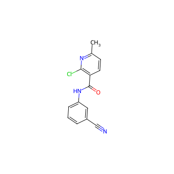 Cc1ccc(C(=O)Nc2cccc(C#N)c2)c(Cl)n1